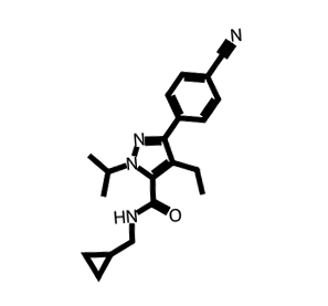 CCc1c(-c2ccc(C#N)cc2)nn(C(C)C)c1C(=O)NCC1CC1